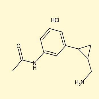 CC(=O)Nc1cccc(C2CC2CN)c1.Cl